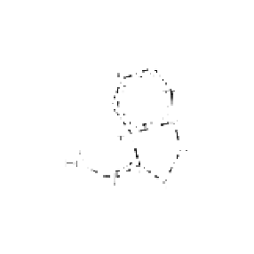 O/N=C1/[CH]Cc2ccccc21